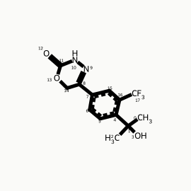 CC(C)(O)c1ccc(C2=NNC(=O)OC2)cc1C(F)(F)F